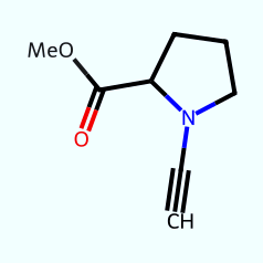 C#CN1CCCC1C(=O)OC